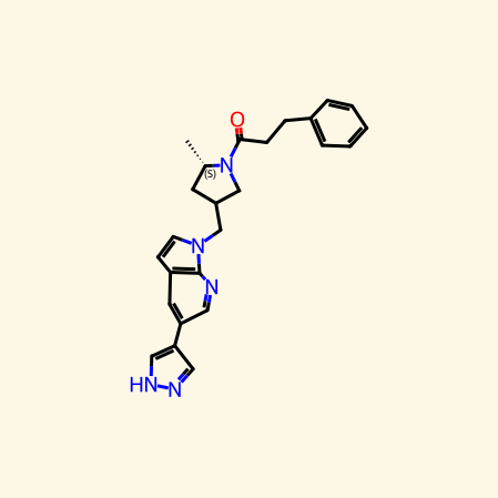 C[C@H]1CC(Cn2ccc3cc(-c4cn[nH]c4)cnc32)CN1C(=O)CCc1ccccc1